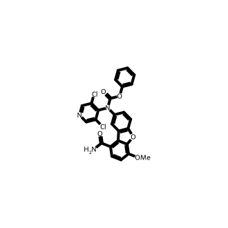 COc1ccc(C(N)=O)c2c1oc1ccc(N(C(=O)Oc3ccccc3)c3c(Cl)cncc3Cl)cc12